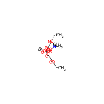 CC/C=C\CCCCOC(=O)CCCCCC(=O)OCC(COC(=O)CCCCCC(=O)OCCCC/C=C\CC)(COC(=O)CC12CC3CC(CC(C3)C1)C2)COC(=O)OCCCN(CC)CC